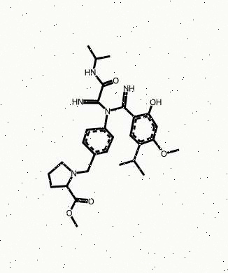 COC(=O)C1CCCN1Cc1ccc(N(C(=N)C(=O)NC(C)C)C(=N)c2cc(C(C)C)c(OC)cc2O)cc1